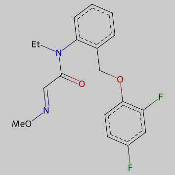 CCN(C(=O)C=NOC)c1ccccc1COc1ccc(F)cc1F